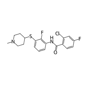 CN1CCC(Sc2cccc(NC(=O)c3ccc(F)cc3Cl)c2F)CC1